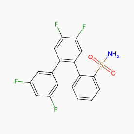 NS(=O)(=O)c1ccccc1-c1cc(F)c(F)cc1-c1cc(F)cc(F)c1